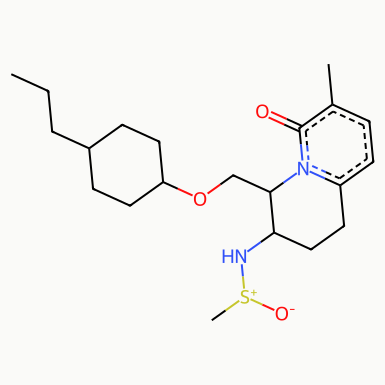 CCCC1CCC(OCC2C(N[S+](C)[O-])CCc3ccc(C)c(=O)n32)CC1